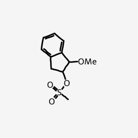 COC1c2ccccc2CC1OS(C)(=O)=O